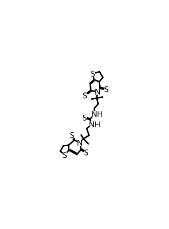 CC(C)(CCNC(=S)NCCC(C)(C)N1C(=S)C=C2SCCC2C1=S)N1C(=S)C=C2SCCC2C1=S